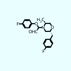 C[C@H]1CO[C@H](Cc2ccc(F)cc2)CN1C(C=O)Oc1ccc(F)cc1